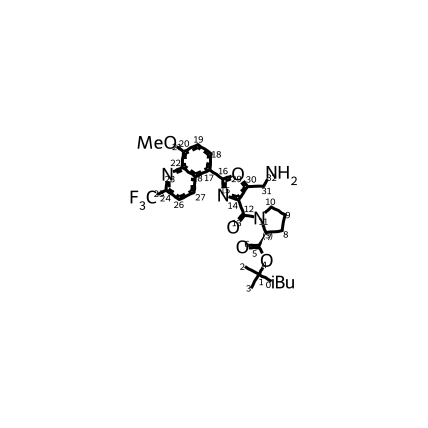 CCC(C)C(C)(C)OC(=O)[C@@H]1CCCN1C(=O)c1nc(-c2ccc(OC)c3nc(C(F)(F)F)ccc23)oc1CN